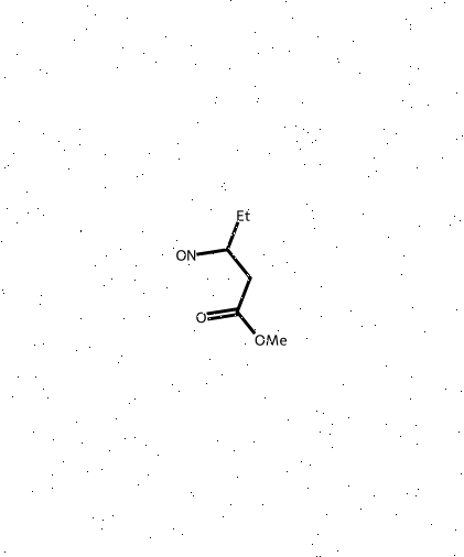 CCC(CC(=O)OC)N=O